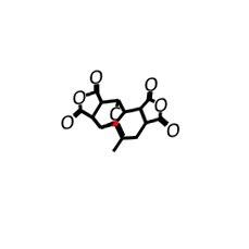 CC1=C2C3CCC(C4C(=O)OC(=O)C34)C2C2C(=O)OC(=O)C2C1